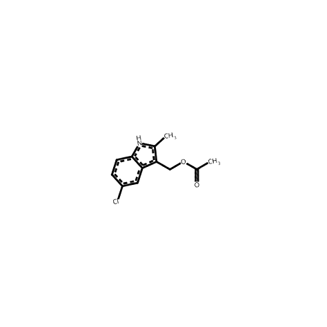 CC(=O)OCc1c(C)[nH]c2ccc(Cl)cc12